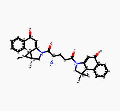 C[C@@H]1[C@@H]2CN(C(=O)[C@@H](N)CCC(=O)N3C[C@H]4C[C@@]45C3=CC(=O)c3ccccc35)C3=CC(=O)c4ccccc4[C@@]312